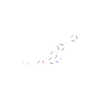 O=C(/C=C/CNC1CCC1)Nc1ccc2ncnc3c2c1C=CN3c1ccc(OCc2ccccn2)c(Cl)c1